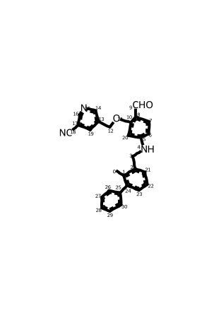 Cc1c(CNc2ccc(C=O)c(OCc3cncc(C#N)c3)c2)cccc1-c1ccccc1